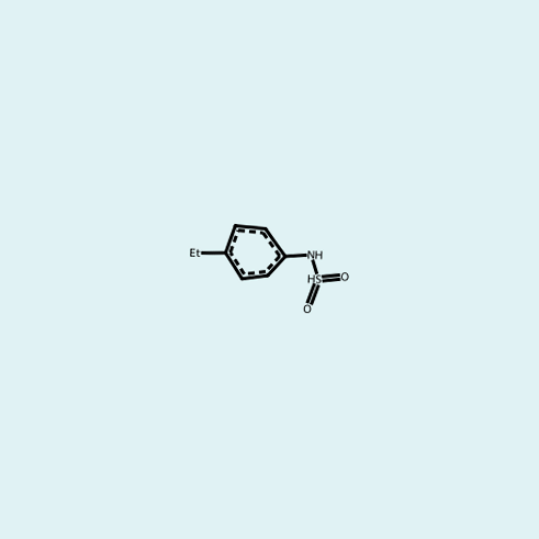 [CH2]Cc1ccc(N[SH](=O)=O)cc1